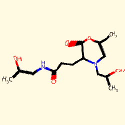 CC(O)CNC(=O)CCC1C(=O)OC(C)CN1CC(C)O